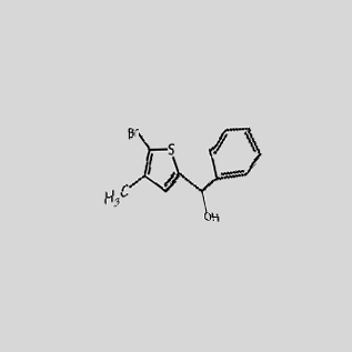 Cc1cc(C(O)c2ccccc2)sc1Br